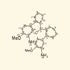 COc1ccc(-c2ccccc2[S+]([O-])c2ccccc2-c2ccc(OC)c(N)c2)cc1N